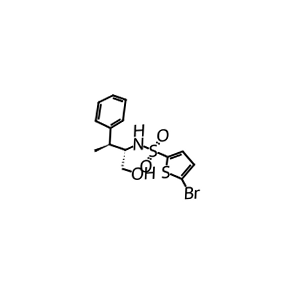 C[C@@H](c1ccccc1)[C@@H](CO)NS(=O)(=O)c1ccc(Br)s1